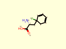 N[C@H](CC1(F)C=CC=CC1)C(=O)O